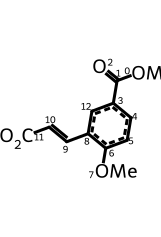 COC(=O)c1ccc(OC)c(C=CC(=O)O)c1